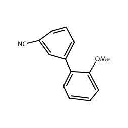 COc1ccccc1-c1cccc(C#N)c1